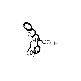 O=C(O)CCCNC(=O)C(Cc1ccccc1)CC(Cc1ccccc1)C(=O)O